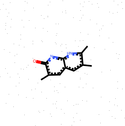 Cc1cc2cc(C)c(=O)nc-2[nH]c1C